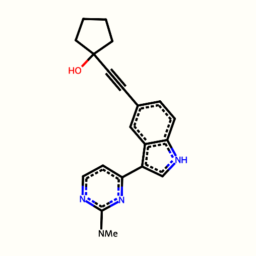 CNc1nccc(-c2c[nH]c3ccc(C#CC4(O)CCCC4)cc23)n1